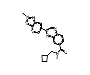 CN(CC1CCC1)C(=O)c1ccc2ncc(-c3cnc4nn(C)nc4c3)nc2c1